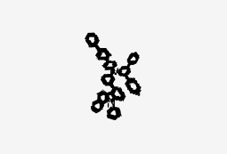 C1=CC(c2cc(-c3ccccc3)cc(N(c3ccc(-c4ccc(-c5ccccc5)cc4)cc3)c3cccc(-c4cccc5c4c4ccc6ccccc6c4n5-c4ccccc4)c3)c2)=CCC1